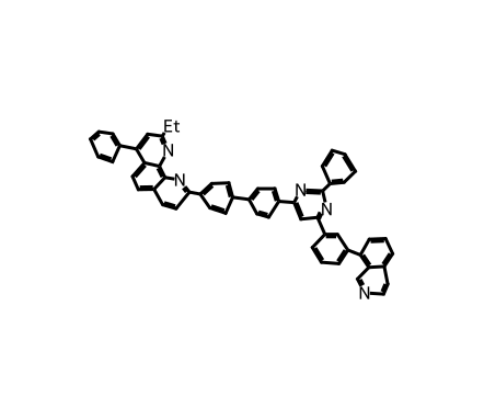 CCc1cc(-c2ccccc2)c2ccc3ccc(-c4ccc(-c5ccc(-c6cc(-c7cccc(-c8cccc9ccncc89)c7)nc(-c7ccccc7)n6)cc5)cc4)nc3c2n1